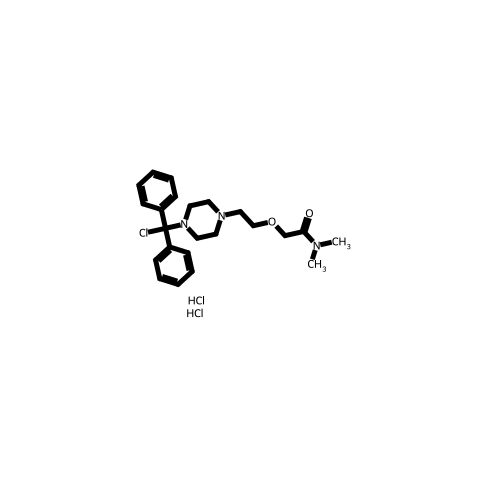 CN(C)C(=O)COCCN1CCN(C(Cl)(c2ccccc2)c2ccccc2)CC1.Cl.Cl